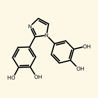 Oc1ccc(-c2nccn2-c2ccc(O)c(O)c2)cc1O